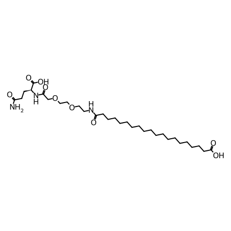 NC(=O)CC[C@H](NC(=O)COCCOCCNC(=O)CCCCCCCCCCCCCCCCCCC(=O)O)C(=O)O